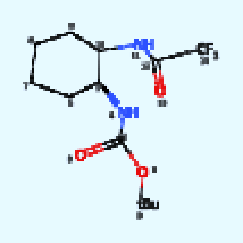 CC(C)(C)OC(=O)N[C@H]1CCCCC1NC(=O)C(F)(F)F